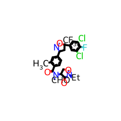 CCN1OCC(N(C=O)C(=O)c2ccc(C3=NOC(c4cc(Cl)c(F)c(Cl)c4)(C(F)(F)F)C3)cc2C)C1=O